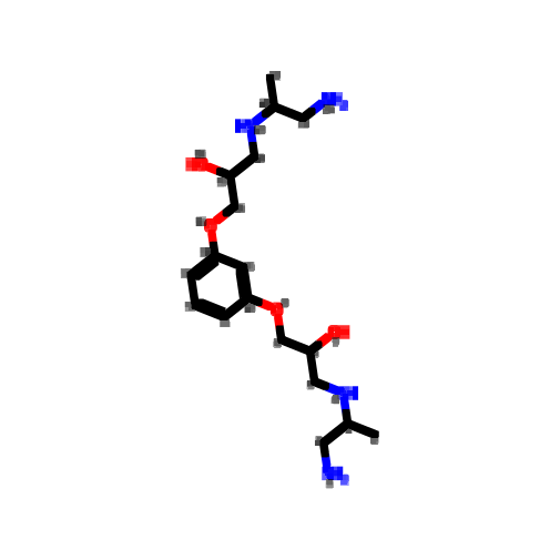 CC(CN)NCC(O)COc1cccc(OCC(O)CNC(C)CN)c1